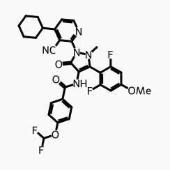 COc1cc(F)c(-c2c(NC(=O)c3ccc(OC(F)F)cc3)c(=O)n(-c3nccc(C4CCCCC4)c3C#N)n2C)c(F)c1